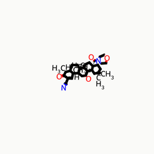 C[C@@H]1C(=O)C(C#N)=C[C@]2(C)[C@H]3CC(=O)C4C5CC(C)(C)CC[C@]5(C(=O)N5CCOCC5)CC[C@@]4(C)[C@]3(C)CC[C@@H]12